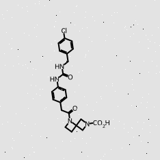 O=C(NCc1ccc(Cl)cc1)Nc1ccc(CC(=O)N2CCC23CN(C(=O)O)C3)cc1